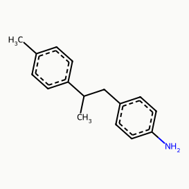 Cc1ccc(C(C)Cc2ccc(N)cc2)cc1